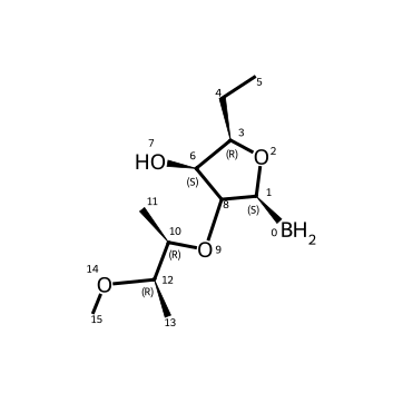 B[C@@H]1O[C@H](CC)[C@H](O)C1O[C@H](C)[C@@H](C)OC